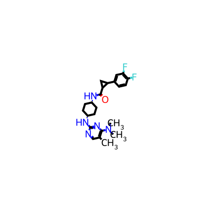 Cc1cnc(N[C@H]2CC[C@@H](NC(=O)C3CC3c3ccc(F)c(F)c3)CC2)nc1N(C)C